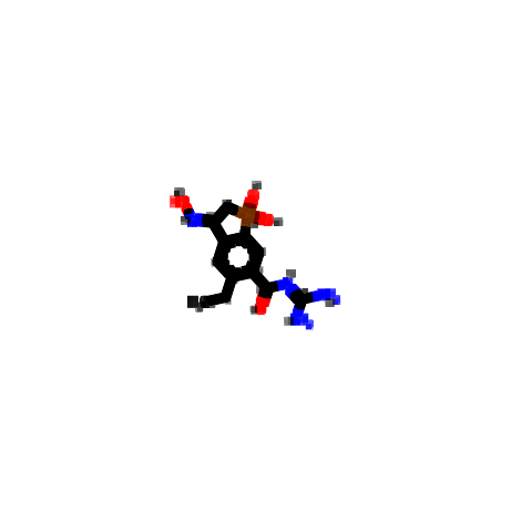 CCc1cc2c(cc1C(=O)N=C(N)N)S(=O)(=O)C/C2=N\O